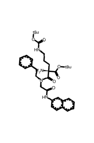 CC(C)(C)OC(=O)NCCC[C@](N)(C(=O)OC(C)(C)C)C(=O)N(CCc1ccccc1)CC(=O)Nc1ccc2ccccc2c1